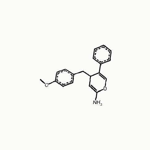 COc1ccc(CC2C=C(N)OC=C2c2ccccc2)cc1